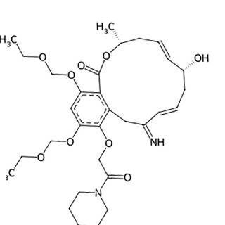 CCOCOc1cc(OCOCC)c2c(c1OCC(=O)N1CCCCC1)CC(=N)/C=C/C[C@@H](O)/C=C/C[C@@H](C)OC2=O